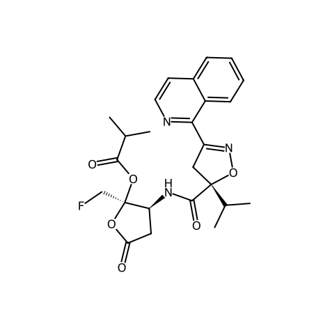 CC(C)C(=O)O[C@]1(CF)OC(=O)C[C@@H]1NC(=O)[C@]1(C(C)C)CC(c2nccc3ccccc23)=NO1